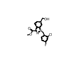 COC(=O)c1nn(Cc2ccc(F)cc2Cl)c2cc(CO)ccc12